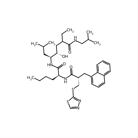 CCCC[C@H](NC(=O)[C@@H](CSc1nncs1)Cc1cccc2ccccc12)C(=O)N[C@@H](CC(C)C)[C@@H](O)CC(CC)C(=O)NCC(C)C